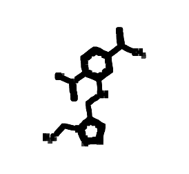 CCn1nncc1CNc1cc(C(C)=O)ccc1[N+](=O)[O-]